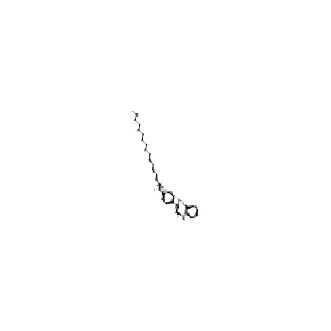 CCCCCCCCCCCCCCCCOc1ccc(-c2cnc3ccccc3n2)cc1